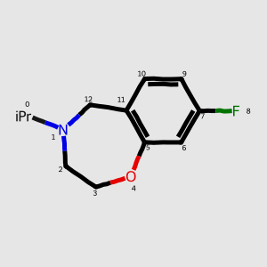 CC(C)N1CCOc2cc(F)ccc2C1